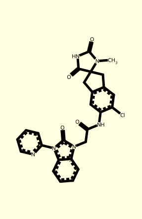 CN1C(=O)NC(=O)C12Cc1cc(Cl)c(NC(=O)Cn3c(=O)n(-c4ccccn4)c4ccccc43)cc1C2